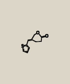 O=C1CC/C(=C\c2cccs2)CO1